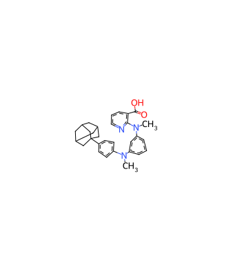 CN(c1ccc(C23CC4CC(CC(C4)C2)C3)cc1)c1cccc(N(C)c2ncccc2C(=O)O)c1